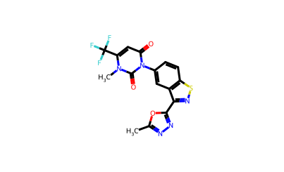 Cc1nnc(-c2nsc3ccc(-n4c(=O)cc(C(F)(F)F)n(C)c4=O)cc23)o1